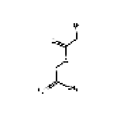 C=C(C)COC(=O)C[O]